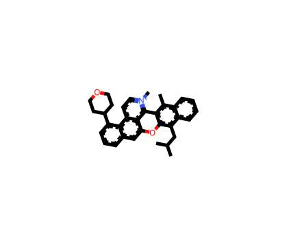 Cc1c2c(c(CC(C)C)c3ccccc13)Oc1cc3cccc(C4CCOCC4)c3c3cc[n+](C)c-2c13